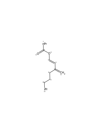 C=C(C=COC(=O)CCC)CCCC(C)C